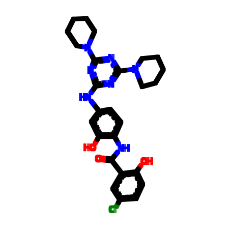 O=C(Nc1ccc(Nc2nc(N3CCCCC3)nc(N3CCCCC3)n2)cc1O)c1cc(Cl)ccc1O